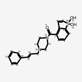 O=C(c1cccc2c1C=CS2(O)O)N1CCN(C/C=C/c2ccccc2)CC1